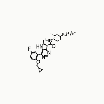 CC(=O)N[C@H]1CC[C@H](NC(=O)c2c(C)[nH]c3c(-c4cc(F)ccc4OCC4CC4)ncnc23)[C@H](C)C1